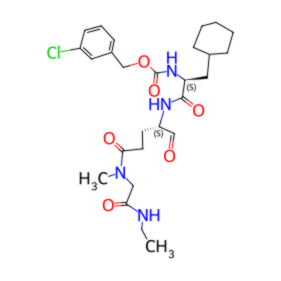 CCNC(=O)CN(C)C(=O)CC[C@@H](C=O)NC(=O)[C@H](CC1CCCCC1)NC(=O)OCc1cccc(Cl)c1